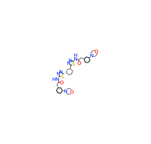 O=C(Cc1cccc(N2CCOCC2)c1)Nc1nnc([C@H]2CCC[C@H](c3nnc(NC(=O)Cc4cccc(N5CCOCC5)c4)s3)C2)s1